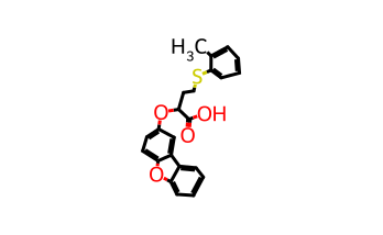 Cc1ccccc1SCCC(Oc1ccc2oc3ccccc3c2c1)C(=O)O